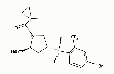 CC1(C(=O)N2C[C@H](C(F)(F)c3ccc(Br)cc3C(F)(F)F)C[C@H]2C(=O)O)CC1